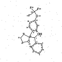 OC(c1ccccn1)C1(c2ccc(OC(F)(F)F)cc2)CCCO1